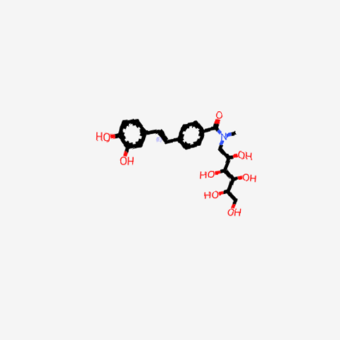 CN(CC(O)C(O)C(O)C(O)CO)C(=O)c1ccc(/C=C/c2ccc(O)c(O)c2)cc1